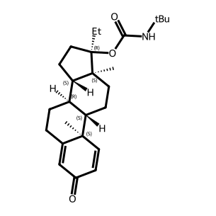 CC[C@@]1(OC(=O)NC(C)(C)C)CC[C@H]2[C@@H]3CCC4=CC(=O)C=C[C@]4(C)[C@H]3CC[C@@]21C